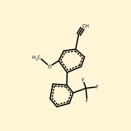 C#Cc1ccc(-c2ccccc2C(F)(F)F)c(OC)c1